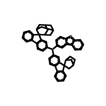 c1ccc2c(c1)-c1ccc(N(c3ccc4c(c3)C3(c5ccccc5-4)C4CC5CC(C4)CC3C5)c3ccc4oc5ccccc5c4c3)cc1C21CC2CCC1C2